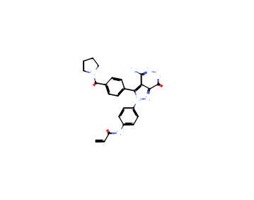 C=CC(=O)Nc1ccc(-n2nc3c(=O)[nH]nc(N)c3c2-c2ccc(C(=O)N3CCCC3)cc2)cc1